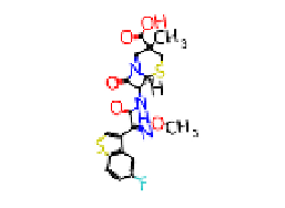 CON=C(C(=O)NC1C(=O)N2CC(C)(C(=O)O)CS[C@H]12)c1csc2ccc(F)cc12